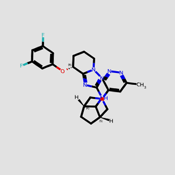 Cc1cc(N2C[C@H]3CC[C@@H](C2)C3Nc2nc3n(n2)CCC[C@H]3Oc2cc(F)cc(F)c2)cnn1